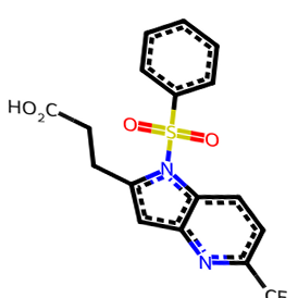 O=C(O)CCc1cc2nc(C(F)(F)F)ccc2n1S(=O)(=O)c1ccccc1